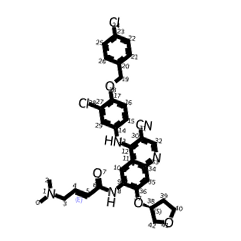 CN(C)C/C=C/C(=O)Nc1cc2c(Nc3ccc(OCc4ccc(Cl)cc4)c(Cl)c3)c(C#N)cnc2cc1O[C@H]1CCOC1